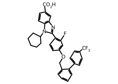 O=C(O)c1ccc2c(c1)nc(-c1ccc(OCc3ccccc3-c3ccc(C(F)(F)F)cc3)cc1F)n2C1CCCCC1